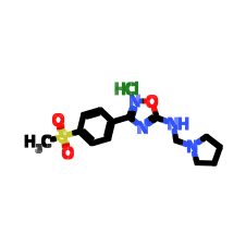 CS(=O)(=O)c1ccc(-c2noc(NCN3CCCC3)n2)cc1.Cl